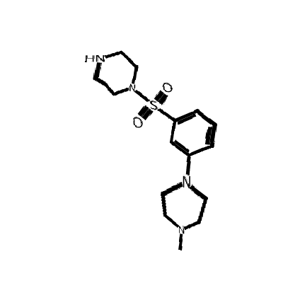 CN1CCN(c2cccc(S(=O)(=O)N3CCNCC3)c2)CC1